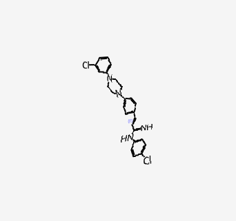 N=C(/C=C/c1ccc(N2CCN(c3cccc(Cl)c3)CC2)cc1)Nc1ccc(Cl)cc1